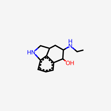 CCNC1CC2CNc3cccc(c32)C1O